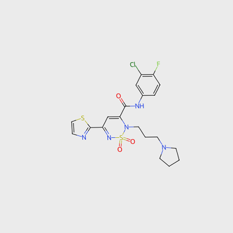 O=C(Nc1ccc(F)c(Cl)c1)C1=CC(c2nccs2)=NS(=O)(=O)N1CCCN1CCCC1